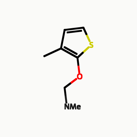 CNCOc1sccc1C